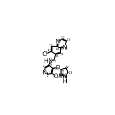 COc1cncc(NCc2cc3nccnc3cc2Cl)c1O[C@@H]1CCNC1